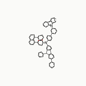 c1ccc(-c2ccc3c(c2)C(c2ccccc2)c2cc(N(c4ccc(-c5cccc(-n6c7ccccc7c7ccccc76)c5)cc4)c4ccc(-c5cccc6cccc(-c7ccccc7)c56)cc4)ccc2-3)cc1